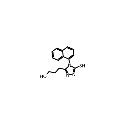 OCCCc1nnc(S)n1-c1cccc2ccccc12